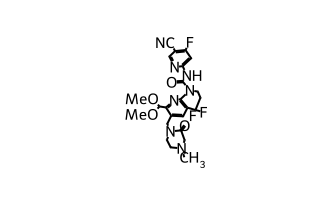 COC(OC)c1nc2c(cc1CN1CCN(C)CC1=O)C(F)(F)CCN2C(=O)Nc1cc(F)c(C#N)cn1